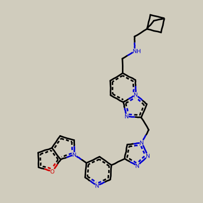 c1cc2ccn(-c3cncc(-c4cn(Cc5cn6cc(CNCC78CC(C7)C8)ccc6n5)nn4)c3)c2o1